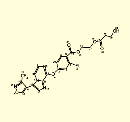 CCc1cc(Oc2nccn3c(-c4conc4C(F)(F)F)cnc23)ccc1C(=O)OCCOC(=O)CCO